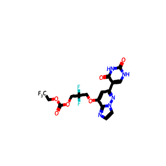 O=C(OCC(F)(F)F)OCC(F)(F)COc1cc(-c2c[nH]c(=O)[nH]c2=O)nn2ccnc12